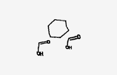 C1CCCCC1.O=CO.O=CO